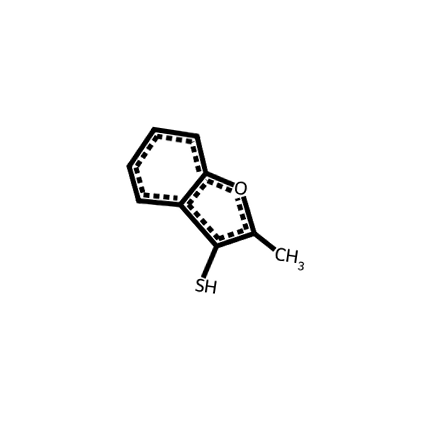 Cc1oc2ccccc2c1S